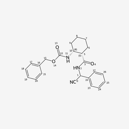 N#CC(NC(=O)[C@H]1CCCC[C@H]1NC(=O)OCc1ccccc1)c1ccccc1